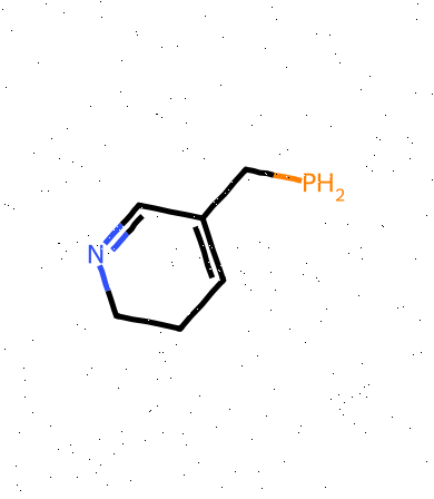 PCC1=CCCN=C1